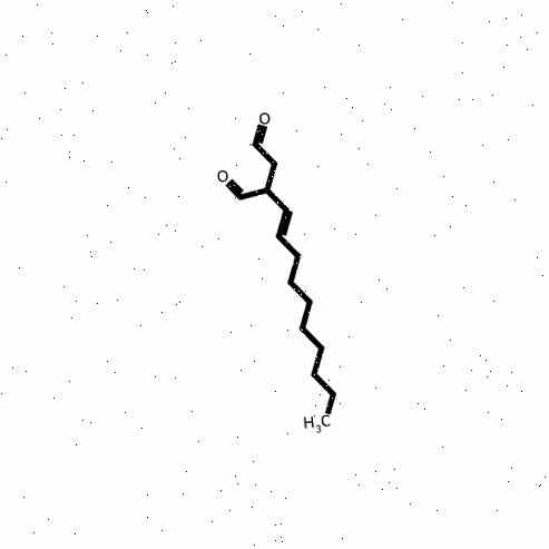 CCCCCCCC/C=C/C([C]=O)C[C]=O